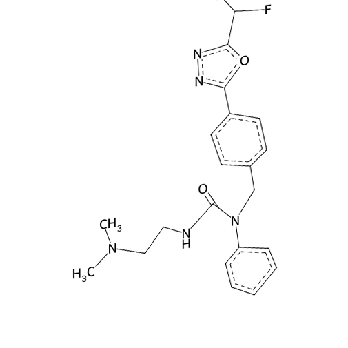 CN(C)CCNC(=O)N(Cc1ccc(-c2nnc(C(F)F)o2)cc1)c1ccccc1